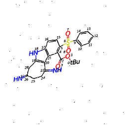 CC(C)(C)OC(=O)c1c(S(=O)(=O)c2ccccc2)ccc2[nH]c3c(c12)C(=N)CCC(=N)C3